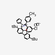 Cc1ccc(/[C](c2cccc(Cl)c2)=[Zr+2](\[C]2=CC=CC2)[c]2c(C(C)(C)C)ccc3c2Cc2cc(C(C)(C)C)ccc2-3)cc1.[Cl-].[Cl-]